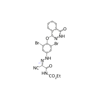 CCOC(=O)NC(=O)/C(C#N)=N\Nc1cc(Br)c(Oc2n[nH]c(=O)c3ccccc23)c(Br)c1